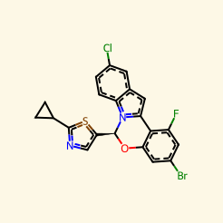 Fc1cc(Br)cc2c1-c1cc3cc(Cl)ccc3n1[C@H](c1cnc(C3CC3)s1)O2